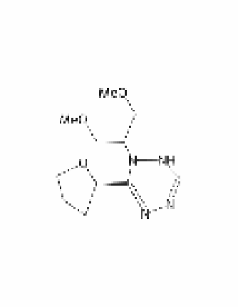 COCC(COC)N1NC=NN=C1[C@H]1CCCO1